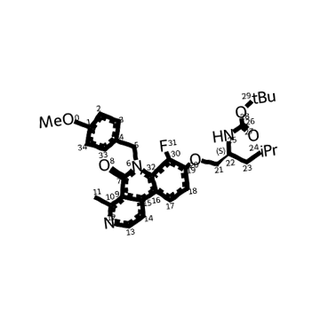 COc1ccc(Cn2c(=O)c3c(C)nccc3c3ccc(OC[C@H](CC(C)C)NC(=O)OC(C)(C)C)c(F)c32)cc1